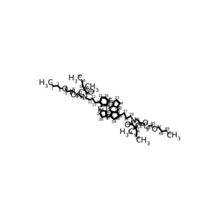 CCCCOCCOCCN(CCCc1ccc(F)[c]([Ti]([C]2=CC=CC2)([C]2=CC=CC2)[c]2c(F)ccc(CCCN(CCOCCOCCCC)C(=O)C(C)(C)CCC)c2F)c1F)C(=O)C(C)(C)CCC